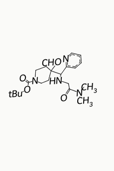 CN(C)C(=O)CNC(c1ccccn1)C1(C=O)CCN(C(=O)OC(C)(C)C)CC1